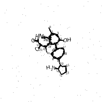 Cc1cc(O)c(-c2ccc(C3CCCC3N)cc2)c2c(C)c(Cl)c(=O)[nH]c12